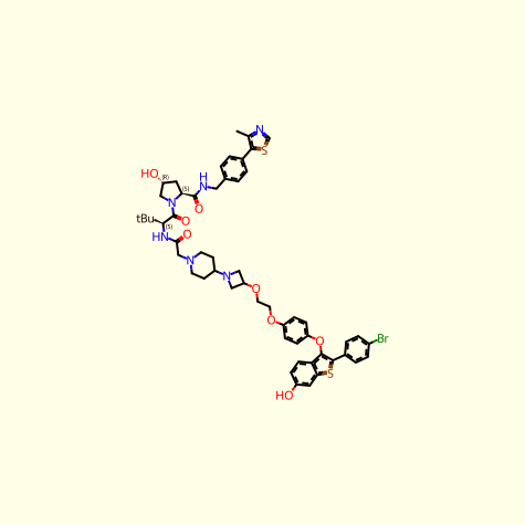 Cc1ncsc1-c1ccc(CNC(=O)[C@@H]2C[C@@H](O)CN2C(=O)[C@@H](NC(=O)CN2CCC(N3CC(OCCOc4ccc(Oc5c(-c6ccc(Br)cc6)sc6cc(O)ccc56)cc4)C3)CC2)C(C)(C)C)cc1